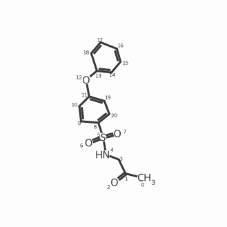 CC(=O)CNS(=O)(=O)c1ccc(Oc2ccccc2)cc1